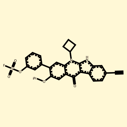 C#Cc1ccc2c(c1)[nH]c1c2c(=O)c2cc(OC(C)C)c(-c3cccc(OS(=O)(=O)F)c3)cc2n1C1CCC1